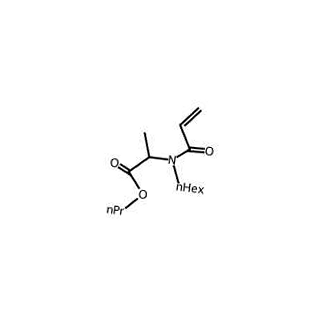 C=CC(=O)N(CCCCCC)C(C)C(=O)OCCC